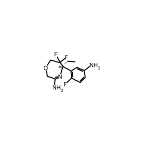 CC[C@]1(c2cc(N)ccc2F)N=C(N)COCC1(F)F